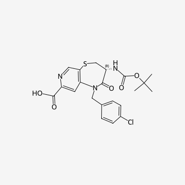 CC(C)(C)OC(=O)N[C@H]1CSc2cnc(C(=O)O)cc2N(Cc2ccc(Cl)cc2)C1=O